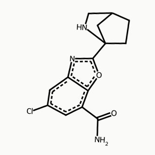 NC(=O)c1cc(Cl)cc2nc(C34CCC(CN3)C4)oc12